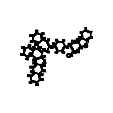 Clc1nc2oc3ccccc3c2nc1-c1ccc(C2=Cc3ccccc3-c3c(c4sc5cc6ccccc6cc5c4c4ccccc34)C2)cc1